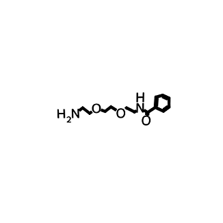 NCCOCCOCCNC(=O)c1ccccc1